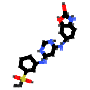 CNS(=O)(=O)c1cccc(Nc2cc(Nc3ccc4[nH]c(=O)oc4c3)ncn2)c1